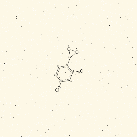 Clc1ccc(C2OO2)c(Cl)c1